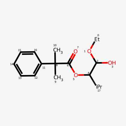 CCOC(O)C(OC(=O)C(C)(C)c1ccccc1)C(C)C